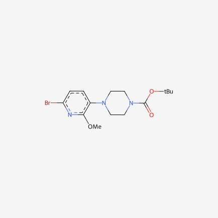 COc1nc(Br)ccc1N1CCN(C(=O)OC(C)(C)C)CC1